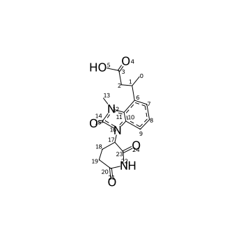 CC(CC(=O)O)c1cccc2c1n(C)c(=O)n2C1CCC(=O)NC1=O